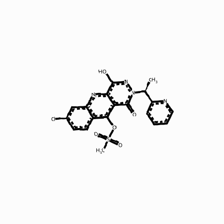 C[C@@H](c1ccccn1)n1nc(O)c2nc3cc(Cl)ccc3c(OS(C)(=O)=O)c2c1=O